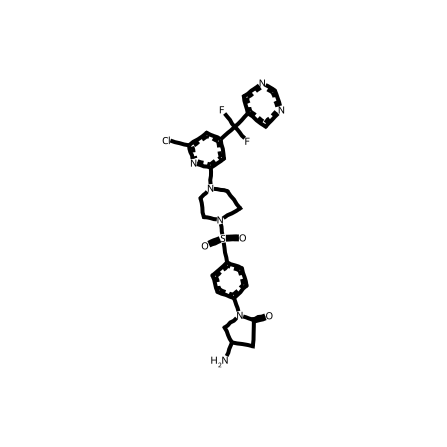 NC1CC(=O)N(c2ccc(S(=O)(=O)N3CCN(c4cc(C(F)(F)c5cncnc5)cc(Cl)n4)CC3)cc2)C1